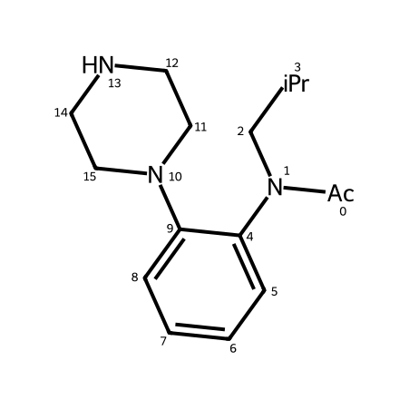 CC(=O)N(CC(C)C)c1ccccc1N1CCNCC1